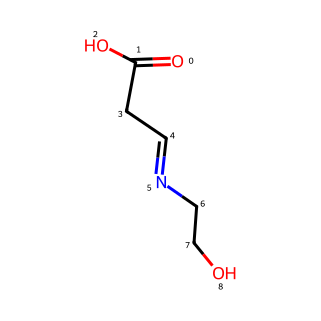 O=C(O)CC=NCCO